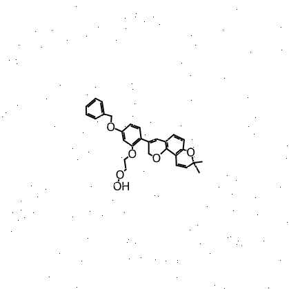 CC1(C)C=Cc2c(ccc3c2OCC(c2ccc(OCc4ccccc4)cc2OCCOO)=C3)O1